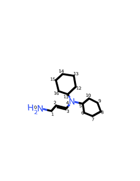 NCC=CN(C1CCCCC1)C1CCCCC1